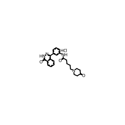 Cl.O=C1CCN(CCCCC(=O)Nc2cccc(-c3n[nH]c(=O)c4ccccc34)c2)CC1